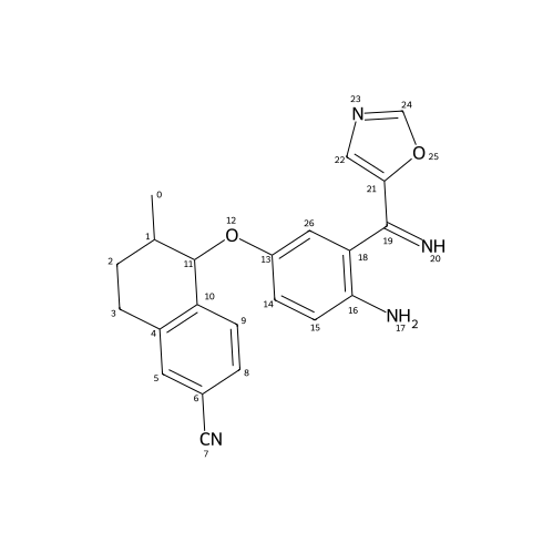 CC1CCc2cc(C#N)ccc2C1Oc1ccc(N)c(C(=N)c2cnco2)c1